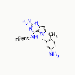 CCCCCNc1nc(N)nc2ccn(Cc3cc(N)ccc3C)c12